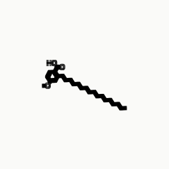 CCCCCCCCCCCCCCCCCc1cc(OC)ccc1C(=O)O